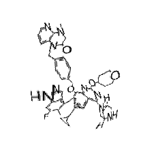 Cc1c(F)cc2[nH]ncc2c1-c1c(C2CC2)cc2c(N3C[C@@H]4C[C@H]3CN4)nc(OC3CCOCC3)nc2c1OCc1ccc(CN2C(=O)CN(C)c3ncccc32)cc1